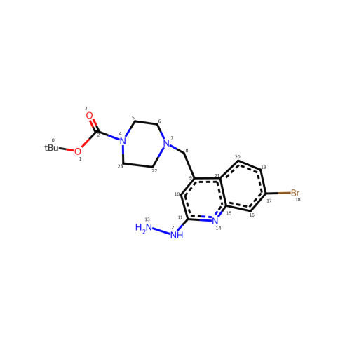 CC(C)(C)OC(=O)N1CCN(Cc2cc(NN)nc3cc(Br)ccc23)CC1